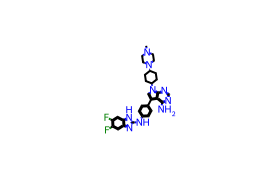 CN1CCN([C@H]2CC[C@H](n3cc(-c4ccc(Nc5nc6cc(F)c(F)cc6[nH]5)cc4)c4c(N)ncnc43)CC2)CC1